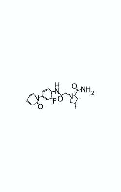 CC1[CH]C(C(N)=O)N(CC(=O)Nc2ccc(-n3ccccc3=O)cc2F)C1